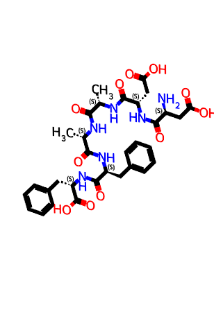 C[C@H](NC(=O)[C@H](C)NC(=O)[C@H](CC(=O)O)NC(=O)[C@@H](N)CC(=O)O)C(=O)N[C@@H](Cc1ccccc1)C(=O)N[C@@H](Cc1ccccc1)C(=O)O